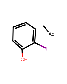 CC(C)=O.Oc1ccccc1I